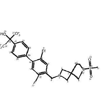 CCc1cc(CN2CC3(C2)CN(S(C)(=O)=O)C3)c(F)cc1-c1ccc(C(O)(C(F)(F)F)C(F)(F)F)cc1